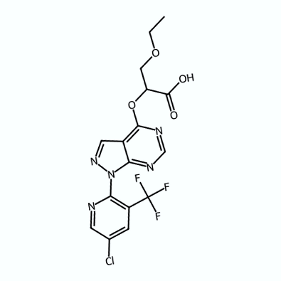 CCOCC(Oc1ncnc2c1cnn2-c1ncc(Cl)cc1C(F)(F)F)C(=O)O